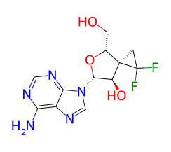 Nc1ncnc2c1ncn2[C@@H]1O[C@H](CO)[C@]2(CC2(F)F)[C@H]1O